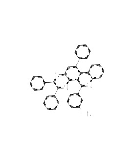 N#Cc1cccc(-c2nc3ccccc3c3c(-c4ccccc4)cc4nc(-c5ccccc5)c(-c5ccccc5)nc4c23)c1